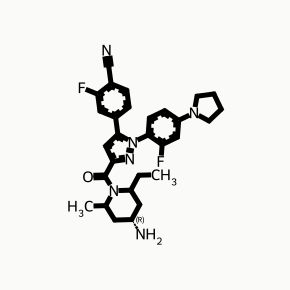 CCC1C[C@H](N)CC(C)N1C(=O)c1cc(-c2ccc(C#N)c(F)c2)n(-c2ccc(N3CCCC3)cc2F)n1